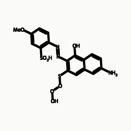 COc1ccc(N=Nc2c(SOOO)cc3cc(N)ccc3c2O)c(S(=O)(=O)O)c1